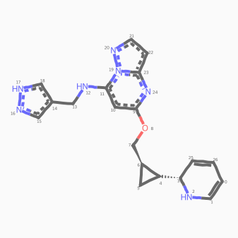 C1=CN[C@H](C2C[C@H]2COc2cc(NCc3cn[nH]c3)n3nccc3n2)C=C1